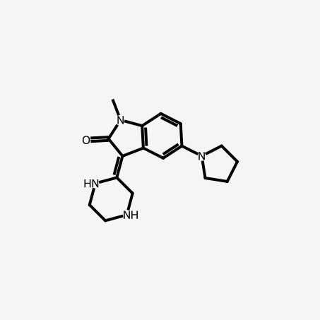 CN1C(=O)/C(=C2/CNCCN2)c2cc(N3CCCC3)ccc21